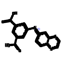 O=C(O)c1cc(/N=c2\ccc3nccsc-3c2)cc(C(=O)O)c1